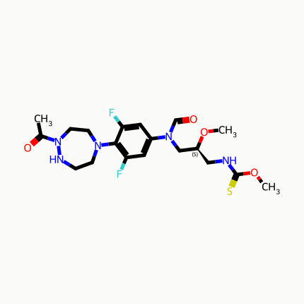 COC(=S)NC[C@@H](CN(C=O)c1cc(F)c(N2CCNN(C(C)=O)CC2)c(F)c1)OC